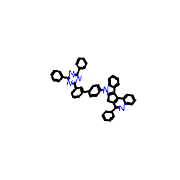 c1ccc(-c2nc(-c3ccccc3)nc(-c3cccc(-c4ccc(-n5c6c(c7ccccc75)-c5c(c(-c7ccccc7)nc7ccccc57)C6)cc4)c3)n2)cc1